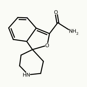 NC(=O)C1=C2C=CC=CC2C2(CCNCC2)O1